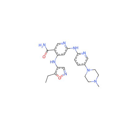 CCc1oncc1Nc1cc(Nc2ccc(N3CCN(C)CC3)cn2)ncc1C(N)=O